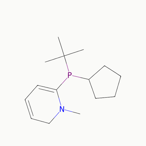 CN1CC=CC=C1P(C1CCCC1)C(C)(C)C